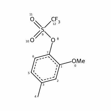 COc1cc(C)ccc1OS(=O)(=O)C(F)(F)F